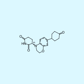 O=C1CCC(c2ccc3c(c2)OCCN3[C@@H]2CCC(=O)NC2=O)CC1